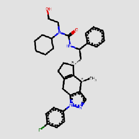 C[C@@H]1C2=C(CC[C@@H]2CC(NC(=O)N(CCO)C2CCCCC2)c2ccccc2)Cc2c1cnn2-c1ccc(F)cc1